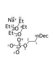 CCCCCCCCCCCCOS(=O)(=O)[O-].CCOCC.CCOCC.[Na+]